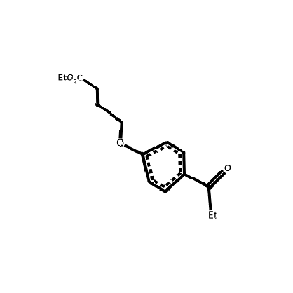 CCOC(=O)CCCOc1ccc(C(=O)CC)cc1